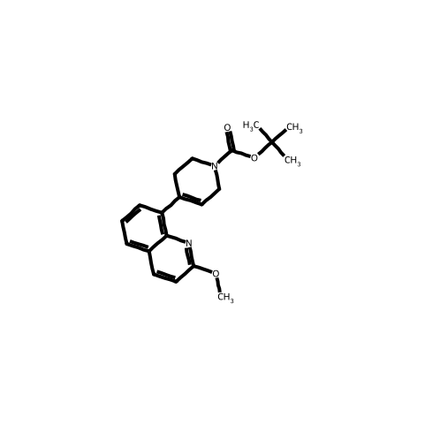 COc1ccc2cccc(C3=CCN(C(=O)OC(C)(C)C)CC3)c2n1